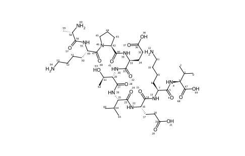 CC(C)[C@H](NC(=O)[C@H](CCCCN)NC(=O)[C@H](CCC(=O)O)NC(=O)[C@@H](NC(=O)[C@@H](NC(=O)[C@H](CCC(=O)O)NC(=O)[C@@H]1CCCN1C(=O)[C@H](CCCCN)NC(=O)[C@H](C)N)[C@@H](C)O)C(C)C)C(=O)O